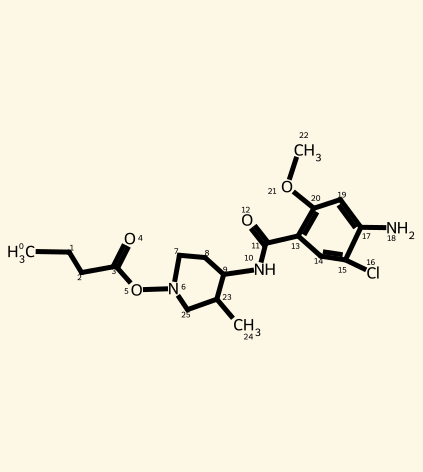 CCCC(=O)ON1CCC(NC(=O)c2cc(Cl)c(N)cc2OC)C(C)C1